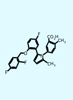 Cc1ccc(-n2c(C)ccc2-c2cc(F)ccc2OCc2ccc(F)cc2F)cc1C(=O)O